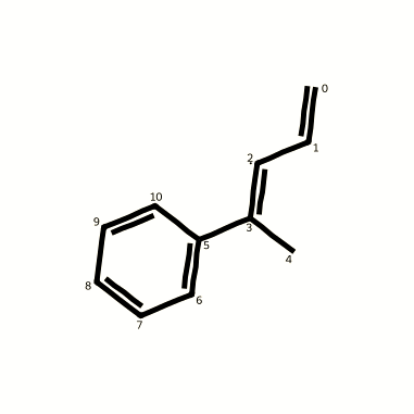 C=C[C]=C(C)c1ccccc1